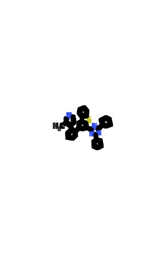 Cc1cnccc1-c1ccccc1-c1cc(-c2nc(-c3ccccc3)nc(-c3ccccc3)n2)c2sc3ccccc3c2c1